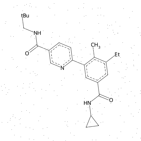 CCc1cc(C(=O)NC2CC2)cc(-c2ccc(C(=O)NCC(C)(C)C)cn2)c1C